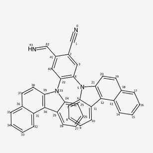 N#Cc1cc(-n2c3ccccc3c3c4ccccc4ccc32)c(-n2c3ccccc3c3c4ccccc4ccc32)cc1C=N